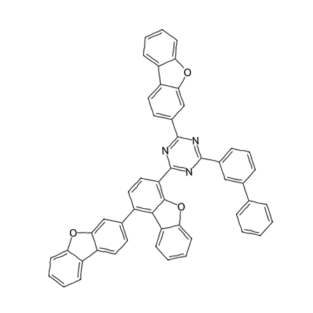 c1ccc(-c2cccc(-c3nc(-c4ccc5c(c4)oc4ccccc45)nc(-c4ccc(-c5ccc6c(c5)oc5ccccc56)c5c4oc4ccccc45)n3)c2)cc1